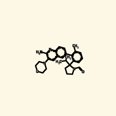 Cc1cccc(C2(C(C)C)CCCN2C=O)c1-c1ccc2nc(N)c(N3CCOCC3)cc2c1